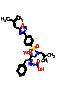 CC(C)Cc1nc(-c2ccc(S(=O)(=O)N(CC(C)C)C[C@H](O)[C@H](Cc3ccccc3)NC(=O)O)cc2)no1